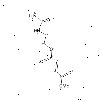 COC(=O)/C=C/C(=O)OCCNC(N)=O